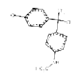 O=C(O)Nc1ccc(C(Cl)(c2ccc(Cl)cc2)C(F)(F)F)cc1